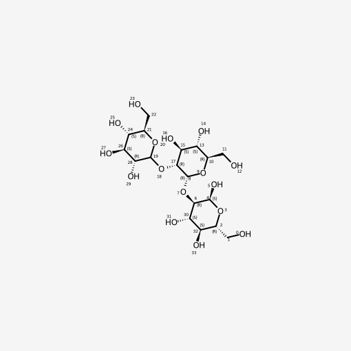 OC[C@H]1O[C@H](O)[C@H](O[C@H]2O[C@H](CO)[C@@H](O)[C@H](O)[C@H]2OC2O[C@H](CO)[C@@H](O)[C@H](O)[C@H]2O)[C@@H](O)[C@@H]1O